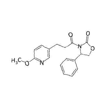 COc1ccc(CCC(=O)N2C(=O)OCC2c2ccccc2)cn1